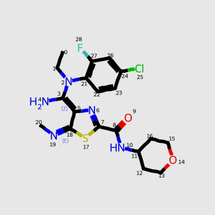 CCN(/C(N)=C1\N=C(C(=O)NC2CCOCC2)S\C1=N\C)c1ccc(Cl)cc1F